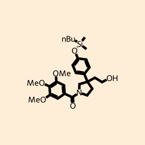 CCCC[Si](C)(C)Oc1ccc(C2(CCO)CCN(C(=O)c3cc(OC)c(OC)c(OC)c3)C2)cc1